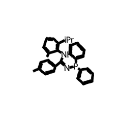 Cc1ccc(C(=NP(c2ccccc2)c2ccccc2)Nc2c(C)cccc2C(C)C)cc1